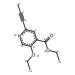 CC#Cc1cc(C(=O)OCC)c(OCC)cn1